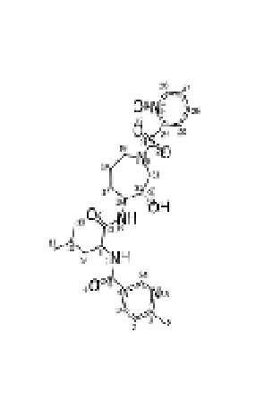 Cc1ccc(C(=O)NC(CC(C)C)C(=O)NC2CCCN(S(=O)(=O)c3cccc[n+]3[O-])C[C@@H]2O)cn1